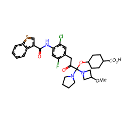 COC1CN(C(OC2CCC(C(=O)O)CC2)(C(=O)Cc2cc(Cl)c(NC(=O)c3csc4ccccc34)cc2F)N2CCCC2)C1